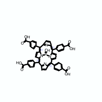 C#P1n2c3ccc2/C(c2ccc(C(=O)O)cc2)=C2/C=CC(=N2)/C(c2ccc(C(=O)O)cc2)=c2/cc/c(n21)=C(\c1ccc(C(=O)O)cc1)C1=N/C(=C\3c2ccc(C(=O)O)cc2)C=C1